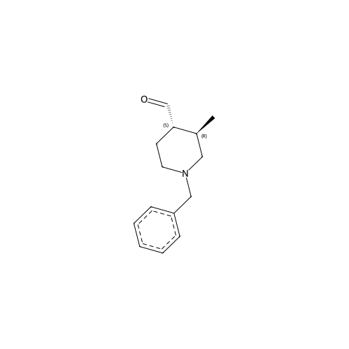 C[C@H]1CN(Cc2ccccc2)CC[C@@H]1C=O